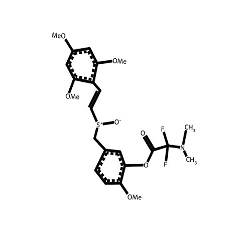 COc1cc(OC)c(/C=C/[S+]([O-])Cc2ccc(OC)c(OC(=O)C(F)(F)N(C)C)c2)c(OC)c1